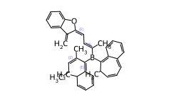 C=c1/c(=C\C=C(/C)B(C2=c3ccccc3=CC=CC2C)C(/C(C)=C\CC)=C2\C=CC=CC2C)oc2ccccc12